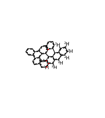 [2H]c1c([2H])c([2H])c2c(-c3ccccc3)c3c(-c4cccc5c6ccccc6c6ccc7ccccc7c6c45)c([2H])c([2H])c([2H])c3c([2H])c2c1[2H]